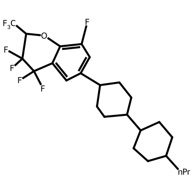 CCCC1CCC(C2CCC(c3cc(F)c4c(c3)C(F)(F)C(F)(F)C(C(F)(F)F)O4)CC2)CC1